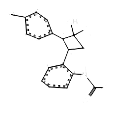 CC(=O)Nc1ccccc1C1CC(C)(C)C1c1ccc(Cl)cc1